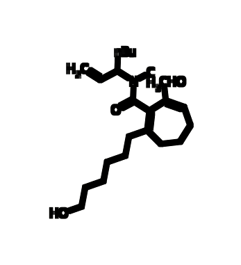 C=CC(CCCC)N(C)C(=O)C1=C(CCCCCCO)CCCC=C1C=O